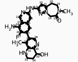 Cc1c(-c2cc3cc(Nc4cc5n(n4)CC(=O)N(C)CC5)ncc3c(N)c2F)cnc2c1NCCC2O